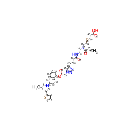 CCCN(CCc1cccs1)C1CCc2c(cccc2OC(=O)Cn2cc(CCCC(=O)NCCN(CCSCCC(=O)O)C(=O)CC)nn2)C1